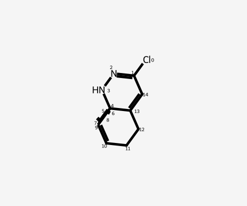 ClC1=NNC23C=CC=CC2=CCCC3=C1